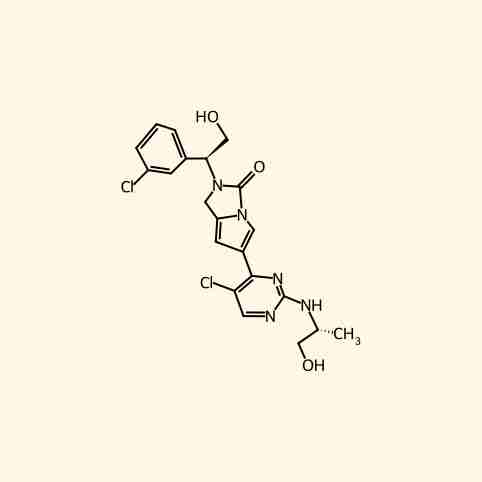 C[C@H](CO)Nc1ncc(Cl)c(-c2cc3n(c2)C(=O)N([C@H](CO)c2cccc(Cl)c2)C3)n1